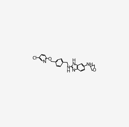 Clc1ccc(OCc2ccc(CNc3nc4ccc(NC5COC5)cc4[nH]3)cc2)nc1